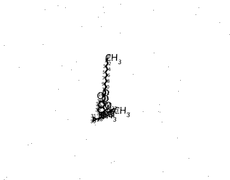 CCCCCCCCCCCCOC(=O)OC1=C2O[C@@H](C(=O)CC)[C@]34CCN(CC5CC5)C(CC(C=C1)C23)[C@@]4(C)O